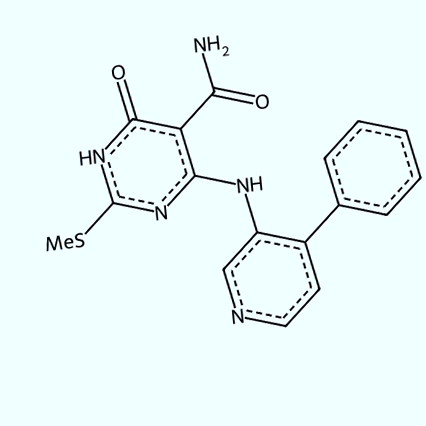 CSc1nc(Nc2cnccc2-c2ccccc2)c(C(N)=O)c(=O)[nH]1